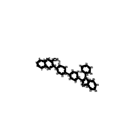 Cc1nc2ccccc2nc1-c1ccc(-c2ccc(-c3nc4ccccc4n3-c3ccccc3)cc2)cc1